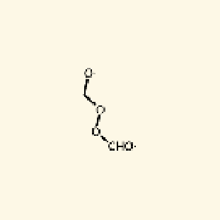 [O]COO[C]=O